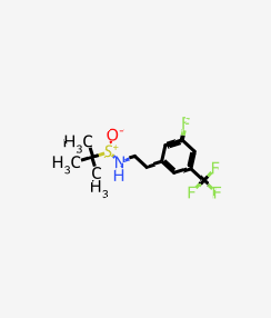 CC(C)(C)[S@+]([O-])NCCc1cc(F)cc(C(F)(F)F)c1